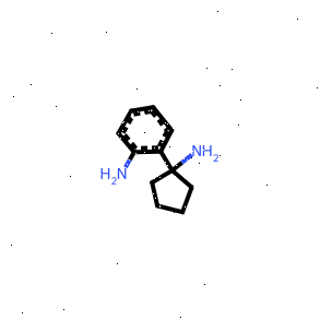 Nc1ccccc1C1(N)CCCC1